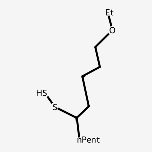 CCCCCC(CCCCOCC)SS